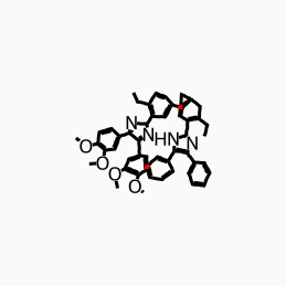 CCC1=C(c2nc(-c3ccccc3)c(-c3ccccc3)[nH]2)C=C2CC2(Cc2ccc(CC)c(C3N=C(c4ccc(OC)c(OC)c4)C(c4ccc(OC)c(OC)c4)=N3)c2)C1